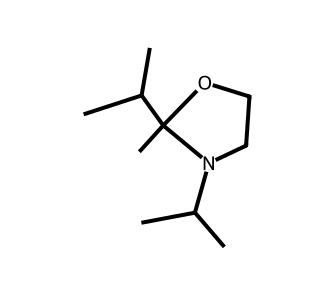 CC(C)N1CCOC1(C)C(C)C